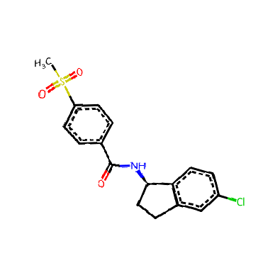 CS(=O)(=O)c1ccc(C(=O)N[C@@H]2CCc3cc(Cl)ccc32)cc1